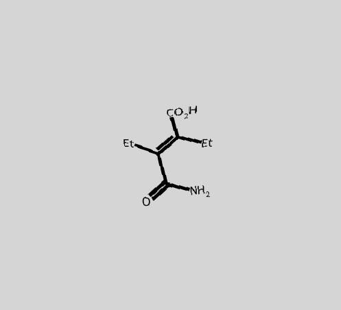 CCC(C(N)=O)=C(CC)C(=O)O